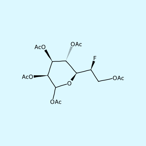 CC(=O)OC[C@H](F)[C@H]1OC(OC(C)=O)[C@@H](OC(C)=O)[C@@H](OC(C)=O)[C@@H]1OC(C)=O